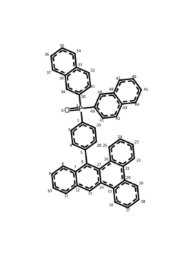 O=P(c1ccc(-c2c3ccccc3cc3c4ccccc4c4ccccc4c23)cc1)(c1ccc2ccccc2c1)c1ccc2ccccc2c1